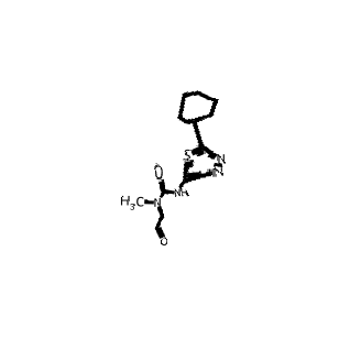 CN(CC=O)C(=O)Nc1nnc(C2CCCCC2)s1